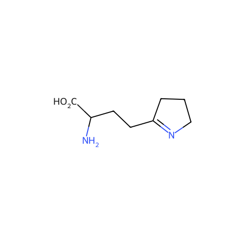 NC(CCC1=NCCC1)C(=O)O